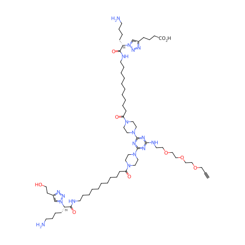 C#CCOCCOCCOCCNc1nc(N2CCN(C(=O)CCCCCCCCCCNC(=O)[C@H](CCCCN)n3cc(CCO)nn3)CC2)nc(N2CCN(C(=O)CCCCCCCCCCNC(=O)[C@H](CCCCN)n3cc(CCCC(=O)O)nn3)CC2)n1